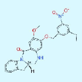 CCc1cc(COc2cc3c(cc2OC)C(=O)N2c4ccccc4C[C@H]2CN3)cc([N+](=O)[O-])c1